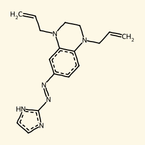 C=CCN1CCN(CC=C)c2cc(/N=N/c3ncc[nH]3)ccc21